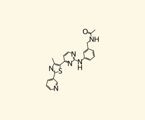 CC(=O)NCc1cccc(Nc2nccc(-c3sc(-c4cccnc4)nc3C)n2)c1